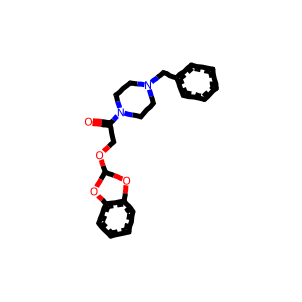 O=C(COC1Oc2ccccc2O1)N1CCN(Cc2ccccc2)CC1